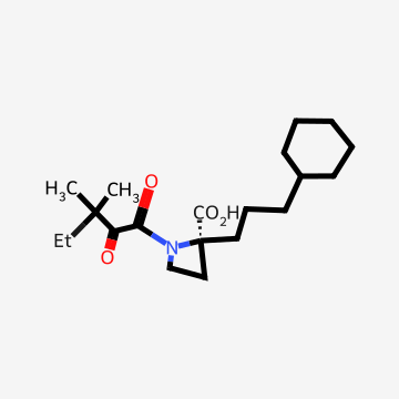 CCC(C)(C)C(=O)C(=O)N1CC[C@@]1(CCCC1CCCCC1)C(=O)O